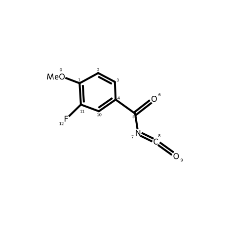 COc1ccc(C(=O)N=C=O)cc1F